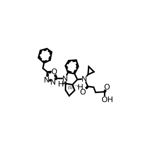 O=C(O)CCC(=O)N(C1CC1)C1c2ccccc2N(c2nnc(Cc3ccccc3)o2)[C@@H]2CCC[C@H]12